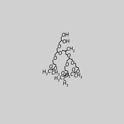 C=C(COC(COCC(O)CO)COCC1COC(C)(C)O1)COC(COCC1COC(C)(C)O1)COCC1COC(C)(C)O1